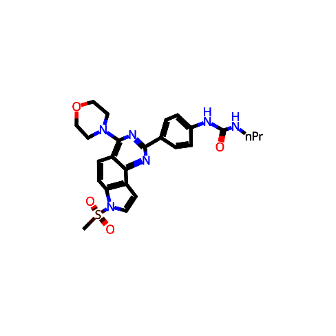 CCCNC(=O)Nc1ccc(-c2nc(N3CCOCC3)c3ccc4c(ccn4S(C)(=O)=O)c3n2)cc1